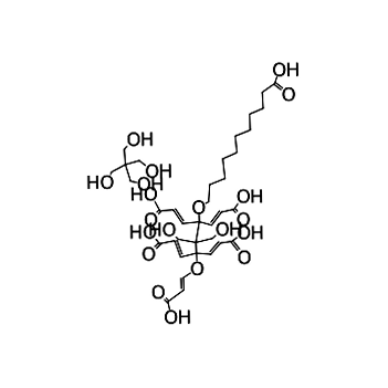 O=C(O)C=COC(C=CC(=O)O)(C=CC(=O)O)C(CO)(CO)C(C=CC(=O)O)(C=CC(=O)O)OCCCCCCCCCCC(=O)O.OCC(CO)(CO)CO